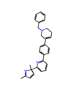 CC1=NC(C)(c2cccc(-c3ccc(C4=CCCN(Cc5ccccc5)C4)cc3)n2)C=C1